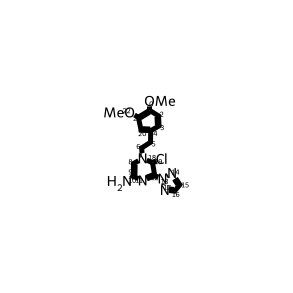 COc1ccc(CCN2C=C(N)N=C(n3nccn3)C2Cl)cc1OC